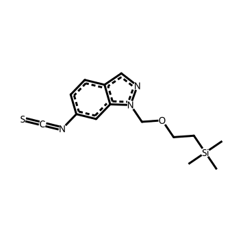 C[Si](C)(C)CCOCn1ncc2ccc(N=C=S)cc21